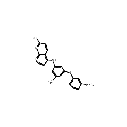 CCCc1ccc2c(Nc3cc(C)cc(Sc4cccc(NC(C)=O)c4)c3)ccnc2n1